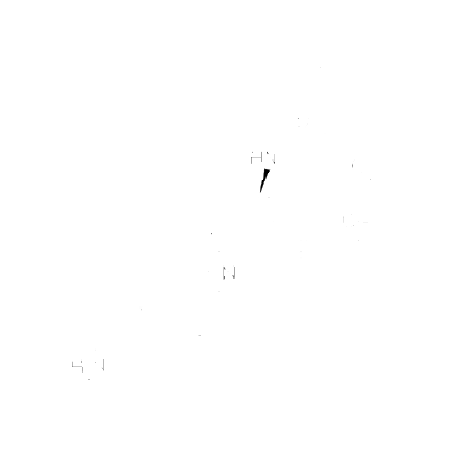 CC(=O)N[C@@H]1CN(CCN)C[C@H]1O